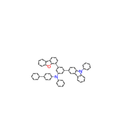 c1ccc(-c2ccc(N(c3ccccc3)c3cc(-c4ccc5c(c4)c4ccccc4n5-c4ccccc4)cc(-c4cccc5c4oc4ccccc45)c3)cc2)cc1